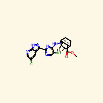 COC(=O)[C@@H]1C2CCC(CC2)[C@H]1Nc1nc(-c2n[nH]c3ncc(Cl)cc23)ncc1F